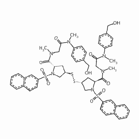 CN(CC(=O)N(C)c1ccc(CO)cc1)C(=O)[C@@H]1C[C@@H](SS[C@@H]2C[C@@H](C(=O)N(C)CC(=O)N(C)c3ccc(CO)cc3)N(S(=O)(=O)c3ccc4ccccc4c3)C2)CN1S(=O)(=O)c1ccc2ccccc2c1